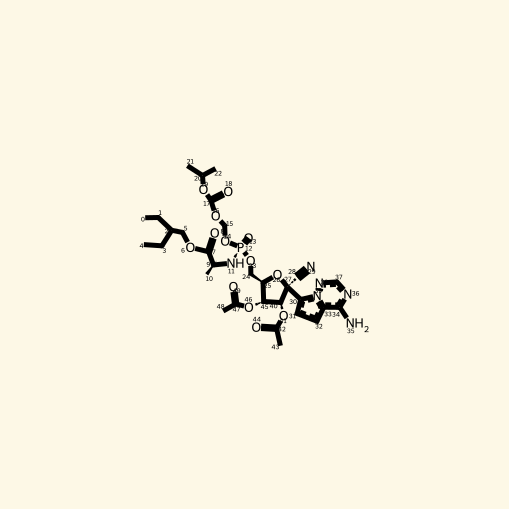 CCC(CC)COC(=O)[C@H](C)N[P@@](=O)(OCOC(=O)OC(C)C)OC[C@H]1O[C@@](C#N)(c2ccc3c(N)ncnn23)[C@H](OC(C)=O)[C@@H]1OC(C)=O